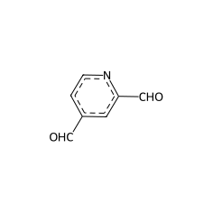 O=Cc1ccnc(C=O)c1